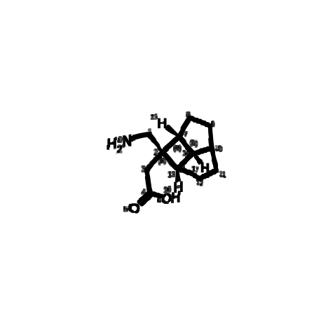 NC[C@@]1(CC(=O)O)[C@@H]2CCC3CC[C@H]1[C@@H]32